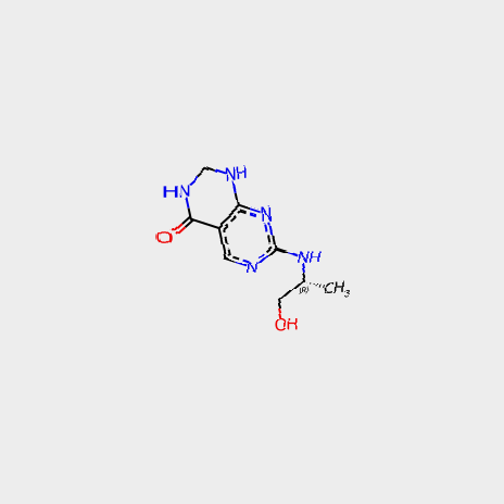 C[C@H](CO)Nc1ncc2c(n1)NCNC2=O